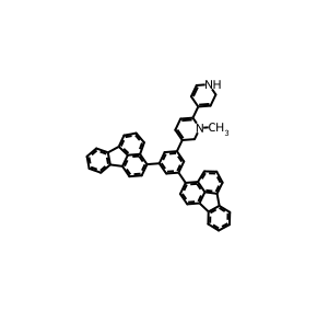 CN1CC(c2cc(-c3ccc4c5c(cccc35)-c3ccccc3-4)cc(-c3ccc4c5c(cccc35)-c3ccccc3-4)c2)=CC=C1C1=CCNC=C1